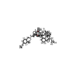 C[C@@H](S[C@H]1CO[C@H](/C=C/C=C/c2ccc(C#N)cc2F)OC1)[C@@](Cn1cncn1)(OC(=O)c1ccccc1COC(=O)CN(C)C)c1ccc(F)cc1F